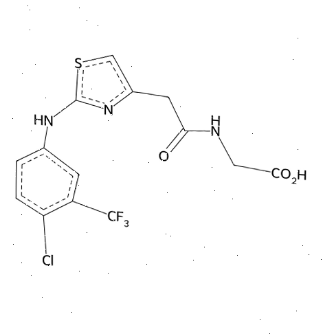 O=C(O)CNC(=O)Cc1csc(Nc2ccc(Cl)c(C(F)(F)F)c2)n1